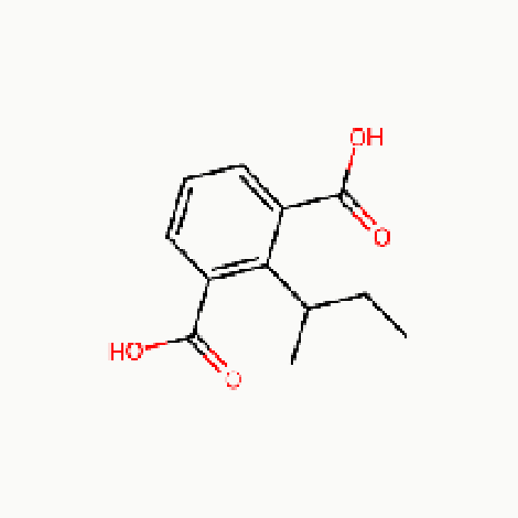 CCC(C)c1c(C(=O)O)cccc1C(=O)O